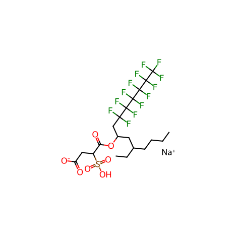 CCCCC(CC)CC(CC(F)(F)C(F)(F)C(F)(F)C(F)(F)C(F)(F)C(F)(F)F)OC(=O)C(CC(=O)[O-])S(=O)(=O)O.[Na+]